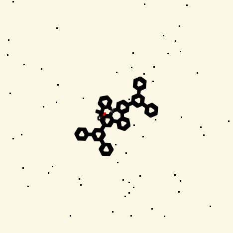 CC(C)(O)c1ccccc1N1c2ccc(-c3cc(-c4ccccc4)cc(-c4ccccc4)c3)cc2-c2ccccc2-c2cc(-c3cc(-c4ccccc4)cc(-c4ccccc4)c3)ccc21